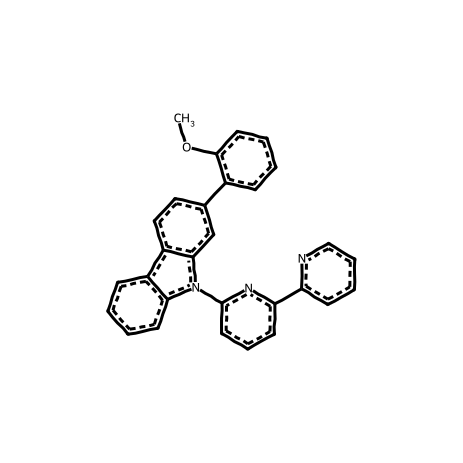 COc1ccccc1-c1ccc2c3ccccc3n(-c3cccc(-c4ccccn4)n3)c2c1